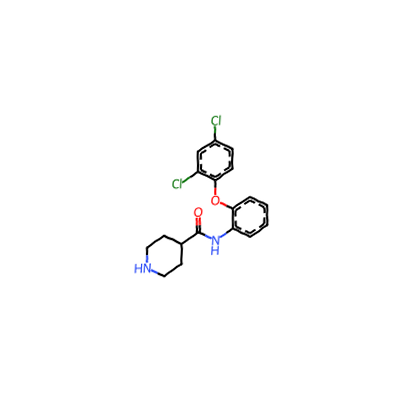 O=C(Nc1ccccc1Oc1ccc(Cl)cc1Cl)C1CCNCC1